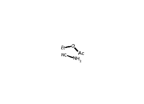 CCOC(C)=O.N#CN